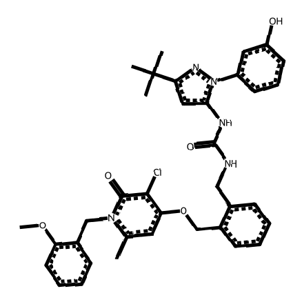 COc1ccccc1Cn1c(C)cc(OCc2ccccc2CNC(=O)Nc2cc(C(C)(C)C)nn2-c2cccc(O)c2)c(Cl)c1=O